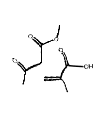 C=C(C)C(=O)O.COC(=O)CC(C)=O